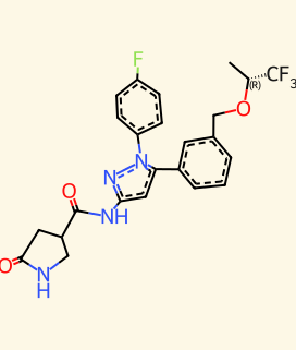 C[C@@H](OCc1cccc(-c2cc(NC(=O)C3CNC(=O)C3)nn2-c2ccc(F)cc2)c1)C(F)(F)F